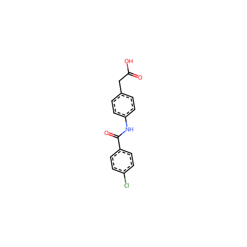 O=C(O)Cc1ccc(NC(=O)c2ccc(Cl)cc2)cc1